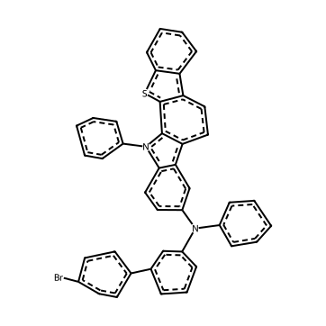 Brc1ccc(-c2cccc(N(c3ccccc3)c3ccc4c(c3)c3ccc5c6ccccc6sc5c3n4-c3ccccc3)c2)cc1